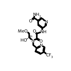 COC[C@@H](O)N(Cc1ccc(C(F)(F)F)cn1)C(=O)C(=O)Nc1cncc(C(N)=O)c1